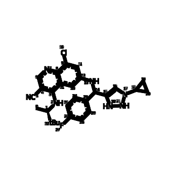 C[C@@H](Nc1c(C#N)cnc2c(Cl)cc(NC(C3=CN(C4CC4)NN3)c3ccc(F)cc3)cc12)C(C)(C)C